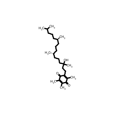 CC1=C(C)C(=O)C(CCC(C)(O)CCC[C@H](C)CCC[C@H](C)CCCC(C)C)=C(C)C1=O